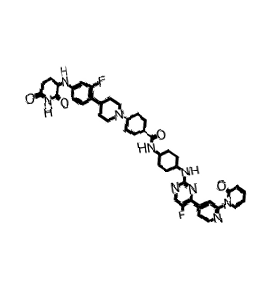 O=C1CCC(Nc2ccc(C3CCN([C@H]4CC[C@H](C(=O)NC5CCC(Nc6ncc(F)c(-c7ccnc(-n8ccccc8=O)c7)n6)CC5)CC4)CC3)c(F)c2)C(=O)N1